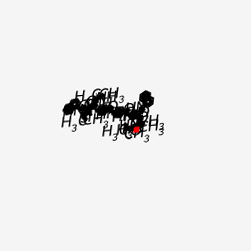 CN[C@@H](C)C(=O)N[C@@H](Cc1ccc(C(=O)Nc2ccc(C(=O)N[C@H]3C[C@@H](C(=O)N[C@@H]4CCCc5ccccc54)N(C(=O)[C@@H](NC(=O)[C@H](C)NC)C(C)(C)C)C3)cc2)cc1)C(=O)N1C[Si](C)(C)C[C@H]1C(=O)N[C@@H]1CCCc2ccccc21